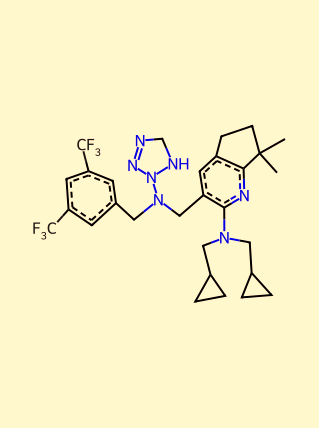 CC1(C)CCc2cc(CN(Cc3cc(C(F)(F)F)cc(C(F)(F)F)c3)N3N=NCN3)c(N(CC3CC3)CC3CC3)nc21